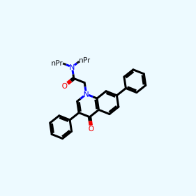 CCCN(CCC)C(=O)Cn1cc(-c2ccccc2)c(=O)c2ccc(-c3ccccc3)cc21